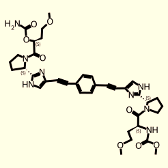 COCC[C@H](NC(=O)OC)C(=O)N1CCC[C@H]1c1nc(C#Cc2ccc(C#Cc3c[nH]c([C@@H]4CCCN4C(=O)[C@H](CCOC)OC(N)=O)n3)cc2)c[nH]1